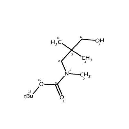 CN(CC(C)(C)CO)C(=O)OC(C)(C)C